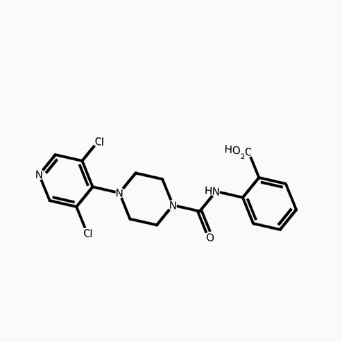 O=C(O)c1ccccc1NC(=O)N1CCN(c2c(Cl)cncc2Cl)CC1